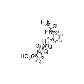 CC1(C)S[C@H]2N(C(=O)[C@]2(C)NC(=O)Cc2ccccc2NC(=O)CN)[C@H]1C(=O)O